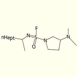 CCCCCCCC(C)N=S(=O)(F)N1CCC(N(C)C)C1